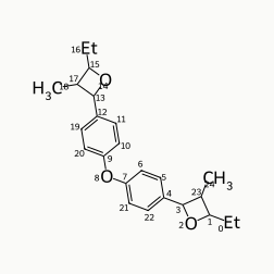 CCC1OC(c2ccc(Oc3ccc(C4OC(CC)C4C)cc3)cc2)C1C